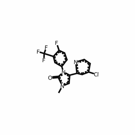 Cn1cc(-c2cc(Cl)ccn2)n(-c2ccc(F)c(C(F)(F)F)c2)c1=O